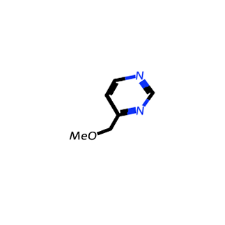 COCc1ccncn1